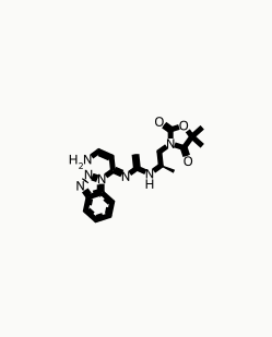 C=C(/N=C(\C=C/N)n1nnc2ccccc21)N[C@H](C)CN1C(=O)OC(C)(C)C1=O